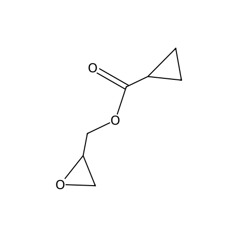 O=C(OCC1CO1)C1CC1